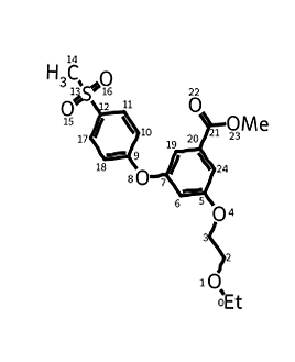 CCOCCOc1cc(Oc2ccc(S(C)(=O)=O)cc2)cc(C(=O)OC)c1